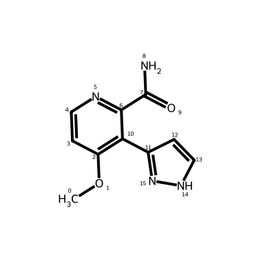 COc1ccnc(C(N)=O)c1-c1cc[nH]n1